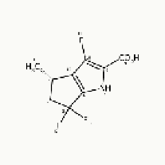 C[C@H]1CC(F)(F)c2[nH]c(C(=O)O)c(F)c21